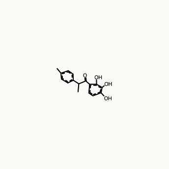 Cc1ccc(C(C)C(=O)c2ccc(O)c(O)c2O)cc1